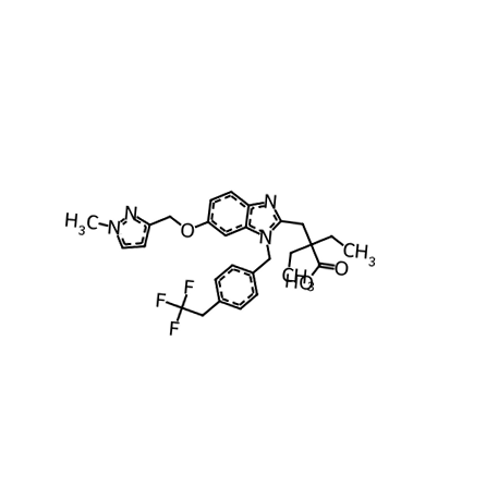 CCC(CC)(Cc1nc2ccc(OCc3ccn(C)n3)cc2n1Cc1ccc(CC(F)(F)F)cc1)C(=O)O